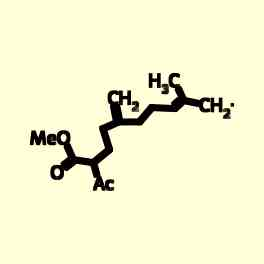 [CH2]C(C)=CCCC(=C)CCC(C(C)=O)C(=O)OC